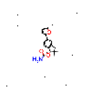 CC1(C)Cc2cc(-c3ccco3)ccc2C1OC(N)=O